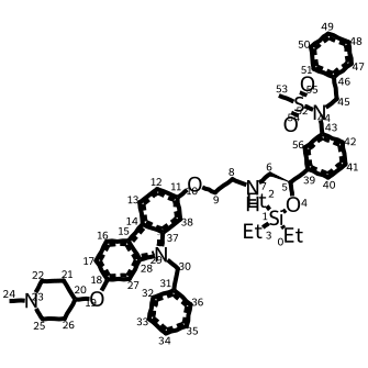 CC[Si](CC)(CC)O[C@@H](CNCCOc1ccc2c3ccc(OC4CCN(C)CC4)cc3n(Cc3ccccc3)c2c1)c1cccc(N(Cc2ccccc2)S(C)(=O)=O)c1